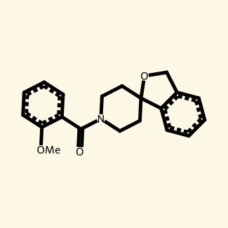 COc1ccccc1C(=O)N1CCC2(CC1)OCc1ccccc12